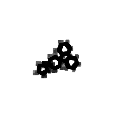 c1ccc(C2(c3ccccc3)CCCCC2)cc1.c1cn[nH]c1